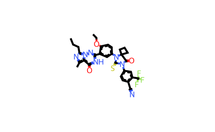 CCCc1nc(C)c2c(=O)[nH]c(-c3cc(N4C(=S)N(c5ccc(C#N)c(C(F)(F)F)c5)C(=O)C45CCC5)ccc3OCC)nn12